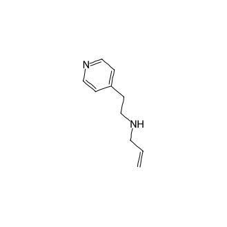 C=CCNCCc1ccncc1